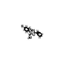 COCCn1c(=NC(=O)C23CC4CC(CC2C4)C3)sc2cc(F)ccc21